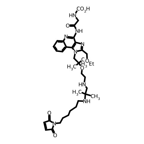 CCOCc1nc2c(NC(=O)CNC(=O)O)nc3ccccc3c2n1CC(C)(C)OCCNCC(C)(C)NCCCCCCN1C(=O)C=CC1=O